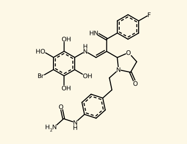 N=C(/C(=C\Nc1c(O)c(O)c(Br)c(O)c1O)C1OCC(=O)N1CCc1ccc(NC(N)=O)cc1)c1ccc(F)cc1